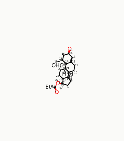 CCC(=O)O[C@]1(C)CC[C@H]2[C@@H]3CCC4=CC(=O)C[C@H](C)[C@]4(C=O)[C@H]3CC[C@@]21C